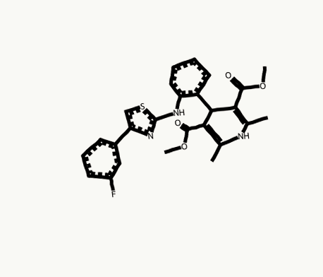 COC(=O)C1=C(C)NC(C)=C(C(=O)OC)C1c1ccccc1Nc1nc(-c2cccc(F)c2)cs1